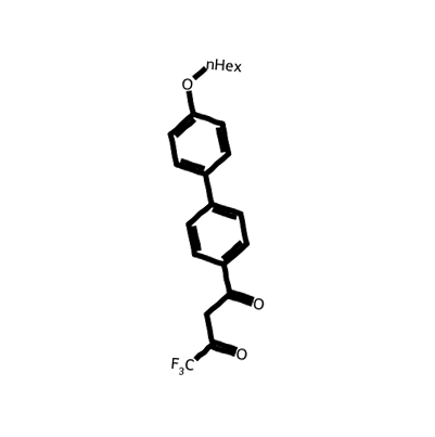 CCCCCCOc1ccc(-c2ccc(C(=O)CC(=O)C(F)(F)F)cc2)cc1